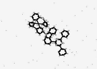 c1ccc(-c2nc(-c3ccccc3)nc(-c3cccc4c3c3ccccc3n4-c3ccc4c(c3)C3(c5ccccc5Oc5ccccc53)c3ccccc3-4)n2)cc1